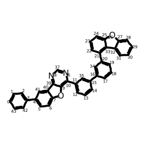 c1ccc(-c2ccc3oc4c(-c5cccc(-c6cccc(-c7cccc8oc9ccccc9c78)c6)c5)ncnc4c3c2)cc1